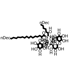 CCCCCCCCCCCCCCCCCCCCCCCCC(O)C(=O)N[C@@H](COP(=O)(O)O[C@H]1C(O)C(O)C(O)[C@@H](O)C1O[C@H]1O[C@H](COP(=O)(O)OC2C(O)C(O)C(O)[C@@H](O)C2O)[C@@H](O)C(O)C1O)[C@H](O)CCCCCCCCCCCCCCC